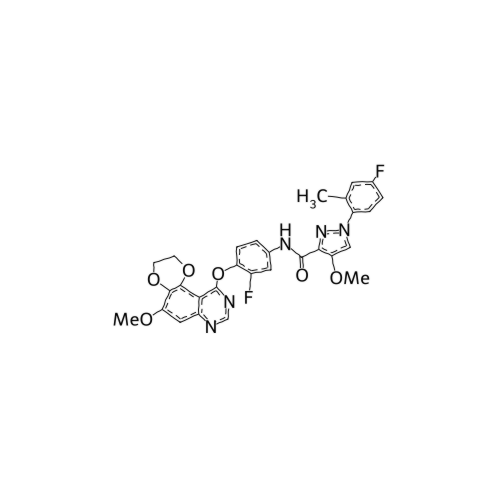 COc1cn(-c2ccc(F)cc2C)nc1C(=O)Nc1ccc(Oc2ncnc3cc(OC)c4c(c23)OCCO4)c(F)c1